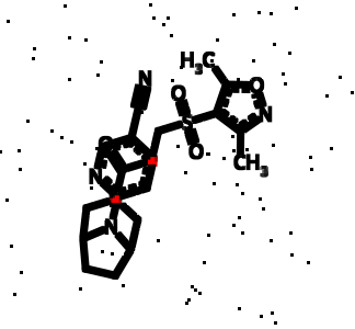 Cc1noc(C)c1S(=O)(=O)CCC(=O)N1CC2CCC(C1)N2c1ccc(C#N)cn1